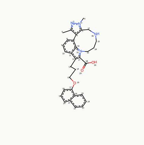 Cc1nn(C)c2c1-c1cccc3c(CCCOc4cccc5ccccc45)c(C(=O)O)n(c13)CCCNC2